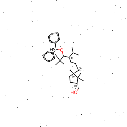 CC(C)[C@@H](CC[C@H](C)[C@@]1(C)CC[C@@H](CO)C1(C)C)C(O[SiH](c1ccccc1)c1ccccc1)C(C)(C)C